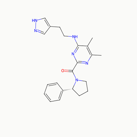 Cc1nc(C(=O)N2CCC[C@@H]2c2ccccc2)nc(NCCc2cn[nH]c2)c1C